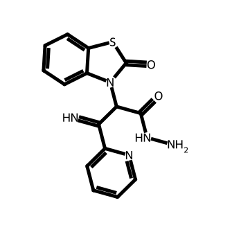 N=C(c1ccccn1)C(C(=O)NN)n1c(=O)sc2ccccc21